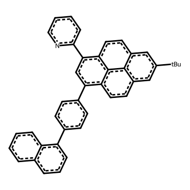 CC(C)(C)c1cc2ccc3c(-c4ccc(-c5cccc6ccccc56)cc4)cc(-c4ccccn4)c4ccc(c1)c2c34